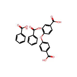 O=C(O)c1ccc(Oc2ccc(C(=O)O)cc2)cc1.O=C(O)c1ccccc1.O=C(O)c1ccccc1